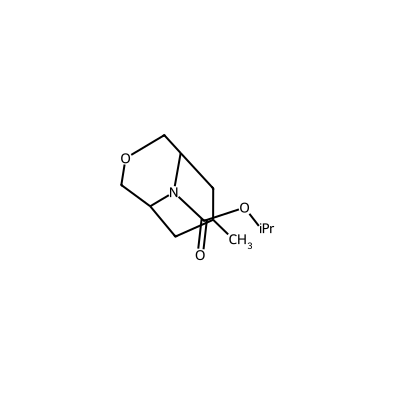 CC1CC2COCC(C1)N2C(=O)OC(C)C